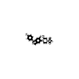 Cc1cc2c(cnn2-c2ccc(F)cc2)cc1N1CCN(S(C)(=O)=O)CC1=O